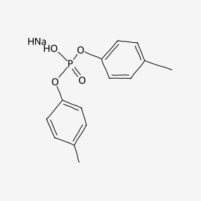 Cc1ccc(OP(=O)(O)Oc2ccc(C)cc2)cc1.[NaH]